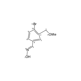 COCc1cc(C=NO)ccc1Br